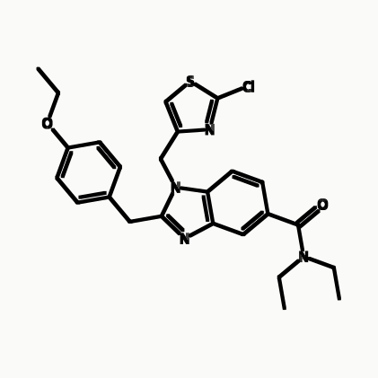 CCOc1ccc(Cc2nc3cc(C(=O)N(CC)CC)ccc3n2Cc2csc(Cl)n2)cc1